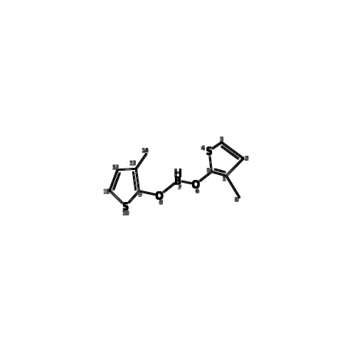 Cc1ccsc1OBOc1sccc1C